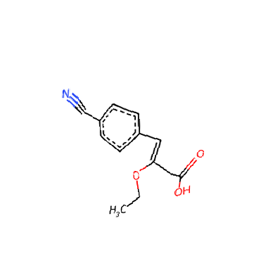 CCOC(=Cc1ccc(C#N)cc1)C(=O)O